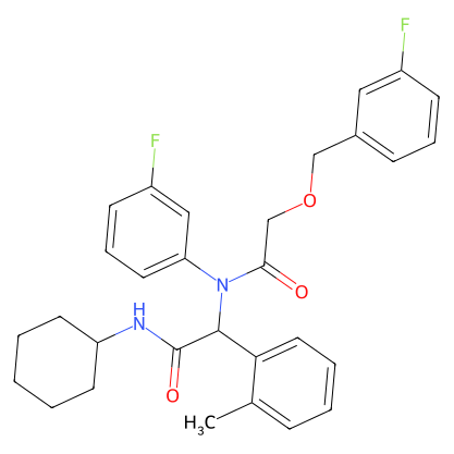 Cc1ccccc1C(C(=O)NC1CCCCC1)N(C(=O)COCc1cccc(F)c1)c1cccc(F)c1